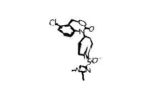 Cc1nc([S+]([O-])N2CCC(N3C(=O)OCc4c(Cl)cccc43)CC2)cn1C